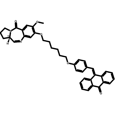 COc1cc2c(cc1OCCCCCCOc1ccc(C=C3c4ccccc4C(=O)c4ccccc43)cc1)N=C[C@@H]1CCCN1C2=O